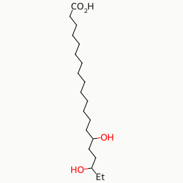 CCC(O)CCC(O)CCCCCCCCCCCCCC(=O)O